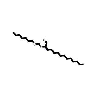 CCCCCCCCCCC/C=C(\C=O)OCOCCCCCCC